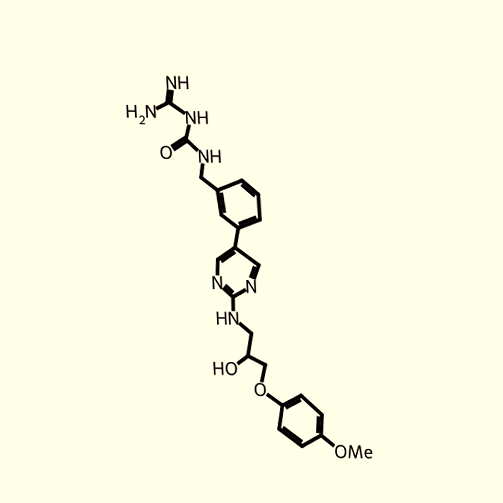 COc1ccc(OCC(O)CNc2ncc(-c3cccc(CNC(=O)NC(=N)N)c3)cn2)cc1